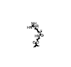 C=C(C)C(=O)OCCNC(=O)N(C)CCCNC(=N)N